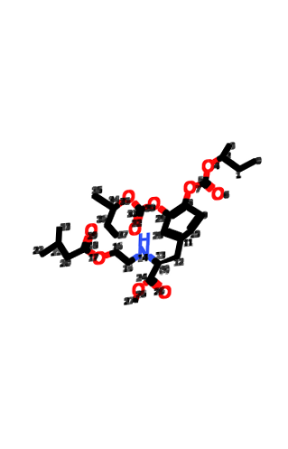 CCC(C)OC(=O)Oc1ccc(C[C@H](NCCOC(=O)CC(C)C)C(=O)OC)cc1OC(=O)OC(C)CC